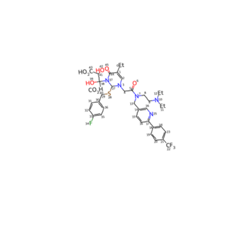 CCC1=CN(CC(=O)N(CCN(CC)CC)Cc2ccc(-c3ccc(C(F)(F)F)cc3)nc2)C(SCc2ccc(F)cc2)N(C(O)(C(=O)O)C(O)C(=O)O)C1=O